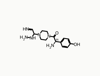 N=CC(NN)N1CCN(C(=O)[C@H](N)c2ccc(O)cc2)CC1